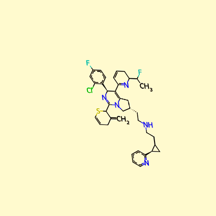 C=C1CC=CSC1C1=N[C@@H](c2ccc(F)cc2Cl)C(C2=NC(C(C)F)CC=C2)=C2C[C@H](CCNCCC3C[C@H]3c3ccccn3)CN12